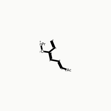 C=C/C(=C\C=C\C(C)=O)OCCC